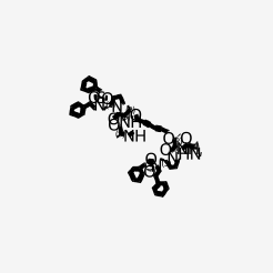 CN[C@@H](C)C(=O)N[C@H](C(=O)N1CCC[C@H]1CN(CCc1ccccc1)S(=O)(=O)Cc1ccccc1)[C@@H](C)OCC#CC#CCO[C@H](C)[C@H](NC(=O)[C@H](C)NC)C(=O)N1CCC[C@H]1CN(CCc1ccccc1)S(=O)(=O)Cc1ccccc1